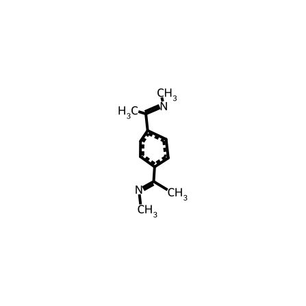 C/N=C(\C)c1ccc(/C(C)=N/C)cc1